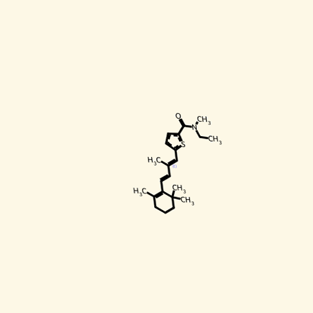 CCN(C)C(=O)c1ccc(/C=C(\C)C=CC2=C(C)CCCC2(C)C)s1